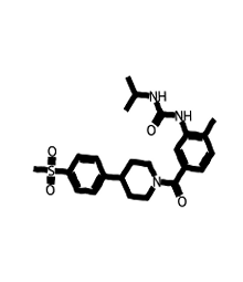 Cc1ccc(C(=O)N2CCC(c3ccc(S(C)(=O)=O)cc3)CC2)cc1NC(=O)NC(C)C